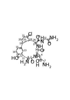 NC[C@H](O)C[C@@H]1NC(=O)[C@@H](N)Cc2cc(ccc2O)-c2ccc(Cl)c(c2)C[C@@H](C(=O)NCC(N)=O)NC1=O